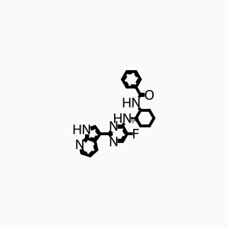 O=C(NC1CCCC[C@H]1Nc1nc(-c2c[nH]c3ncccc23)ncc1F)c1ccccc1